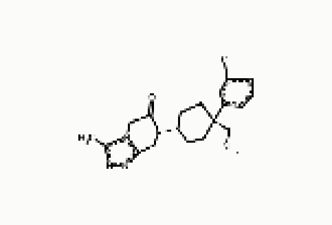 Cc1nnc2n1CC(=O)N([C@H]1CC[C@@](CN)(c3cccc(Cl)c3)CC1)C2